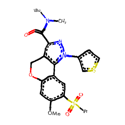 COc1cc2c(cc1S(=O)(=O)C(C)C)-c1c(c(C(=O)N(C)C(C)(C)C)nn1-c1ccsc1)CO2